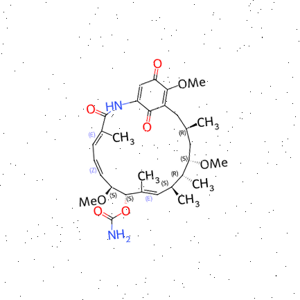 COC1=C2C[C@@H](C)C[C@H](OC)[C@H](C)[C@@H](C)/C=C(\C)[C@H](OC(N)=O)[C@@H](OC)/C=C\C=C(/C)C(=O)NC(=CC1=O)C2=O